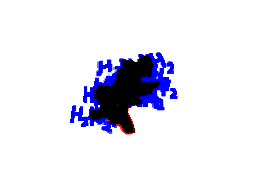 N=C(N)NCCC[C@H](NC(=O)[C@H](CCCNC(=N)N)NC(=O)[C@H](CCCNC(=N)N)NC(=O)[C@H](CCC(N)=O)NC(=O)[C@H](CCCNC(=N)N)NC(=O)[C@H](CCCNC(=N)N)NC(=O)[C@H](CCCCN)NC(=O)[C@@H](N)CCCCN)C(N)=O